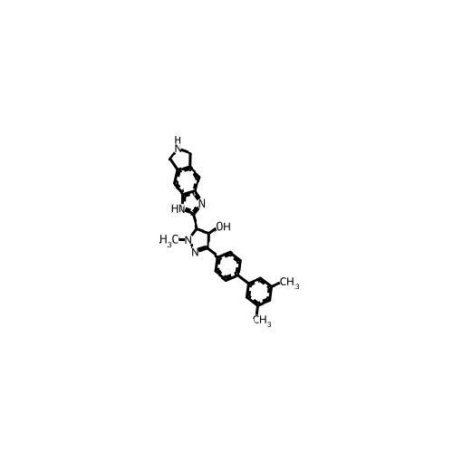 Cc1cc(C)cc(-c2ccc(C3=NN(C)C(c4nc5cc6c(cc5[nH]4)CNC6)C3O)cc2)c1